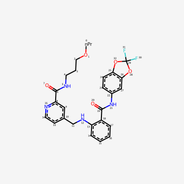 CCCOCCCNC(=O)c1cc(CNc2ccccc2C(=O)Nc2ccc3c(c2)OC(F)(F)O3)ccn1